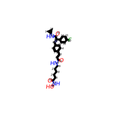 O=C(C=Cc1ccc(/C=C(/C(=O)NC2CC2)c2ccc(F)cc2)cc1)NCCCCCC(=O)NO